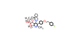 Cc1nc(C)c(C(OC(C)(C)C)C(=O)O)c(N2CCC3(CCCC3)CC2)c1-c1ccc(OCCc2ccc(F)cc2)cc1